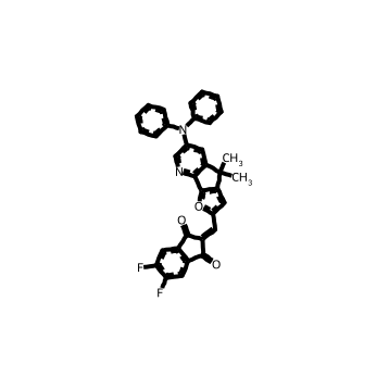 CC1(C)c2cc(N(c3ccccc3)c3ccccc3)cnc2-c2oc(C=C3C(=O)c4cc(F)c(F)cc4C3=O)cc21